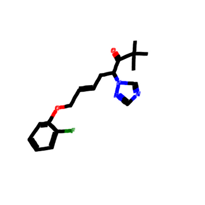 CC(C)(C)C(=O)C(CC=CCOc1ccccc1F)n1cncn1